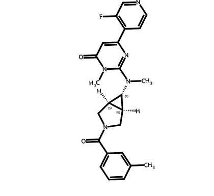 Cc1cccc(C(=O)N2C[C@@H]3[C@H](C2)[C@H]3N(C)c2nc(-c3ccncc3F)cc(=O)n2C)c1